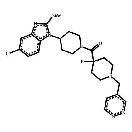 CSc1nc2cc(Cl)ccc2n1C1CCN(C(=O)C2(F)CCN(Cc3ccnnc3)CC2)CC1